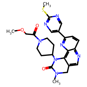 COCC(=O)N1CCC(N2C(=O)N(C)Cc3cnc4ccc(-c5cnc(SC)nc5)nc4c32)CC1